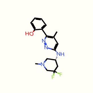 Cc1cc(N[C@H]2CN(C)CC(F)(F)C2)nnc1-c1ccccc1O